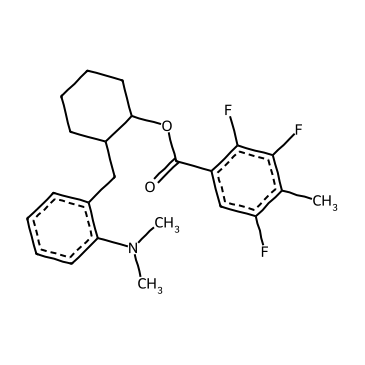 Cc1c(F)cc(C(=O)OC2CCCCC2Cc2ccccc2N(C)C)c(F)c1F